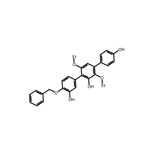 CCOc1cc(-c2ccc(O)cc2)c(OCC)c(O)c1-c1ccc(OCc2ccccc2)c(O)c1